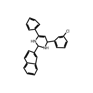 Clc1cccc(C2C=C(c3ccccc3)NC(c3ccc4ccccc4c3)N2)c1